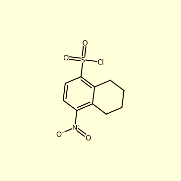 O=[N+]([O-])c1ccc(S(=O)(=O)Cl)c2c1CCCC2